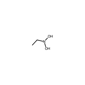 CCN(O)O